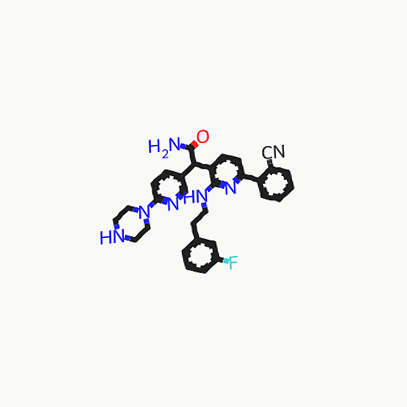 N#Cc1ccccc1-c1ccc(C(C(N)=O)c2ccc(N3CCNCC3)nc2)c(NCCc2cccc(F)c2)n1